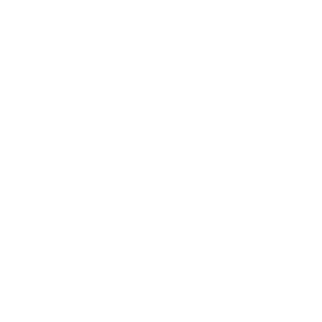 C=C1C=CC/C1=C\CCCC#CCC